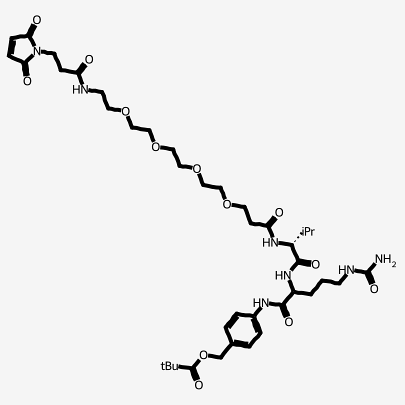 CC(C)[C@@H](NC(=O)CCOCCOCCOCCOCCNC(=O)CCN1C(=O)C=CC1=O)C(=O)NC(CCCNC(N)=O)C(=O)Nc1ccc(COC(=O)C(C)(C)C)cc1